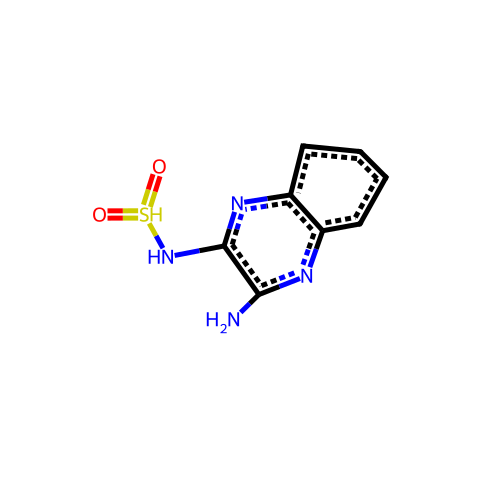 Nc1nc2ccccc2nc1N[SH](=O)=O